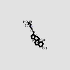 CCC(O)(/C=C/COCC1=CC[C@H]2C3=CC=C4C[C@@H](O)C[C@H](O)[C@]4(C)[C@H]3CC[C@]12C)CC